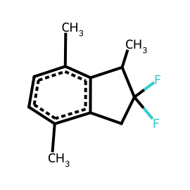 Cc1ccc(C)c2c1CC(F)(F)C2C